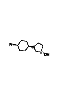 CC(C)[C@H]1CC[C@@H](N2CC[C@H](O)C2)CC1